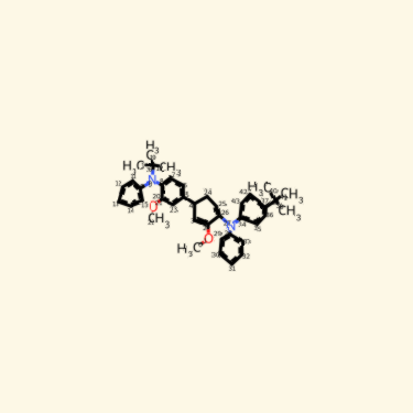 COC1=CC(c2ccc(N(c3ccccc3)C(C)(C)C)c(OC)c2)CC=C1N(c1ccccc1)c1ccc(C(C)(C)C)cc1